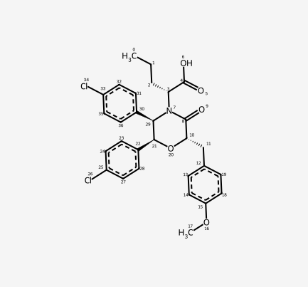 CCC[C@H](C(=O)O)N1C(=O)[C@H](Cc2ccc(OC)cc2)O[C@@H](c2ccc(Cl)cc2)[C@H]1c1ccc(Cl)cc1